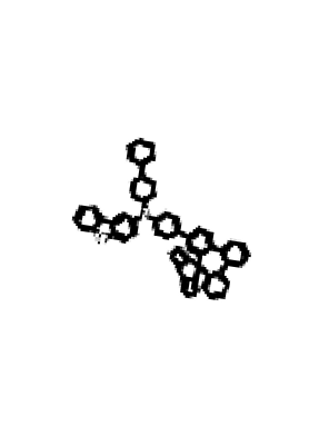 c1ccc(-c2ccc(N(c3ccc(-c4ccc5c(c4)C4(c6ccccc6-c6ccccc6-5)c5ccccc5-c5ccccc54)cc3)c3ccc4oc5ccccc5c4c3)cc2)cc1